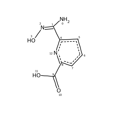 N/C(=N/O)c1cccc(C(=O)O)n1